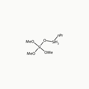 CCC[SiH2]O[Si](OC)(OC)OC